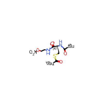 CC(C)(C)C(=O)N[C@@H](CSC(=O)C(C)(C)C)C(=O)NCCO[N+](=O)[O-]